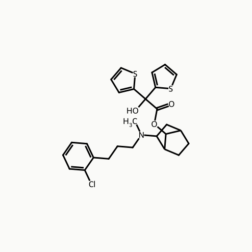 CN(CCCc1ccccc1Cl)C1CC2CCC1C2OC(=O)C(O)(c1cccs1)c1cccs1